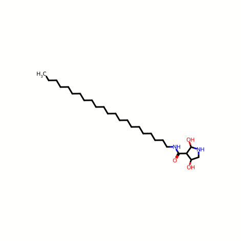 CCCCCCCCCCCCCCCCCCCCCCNC(=O)C1C(O)CNC1O